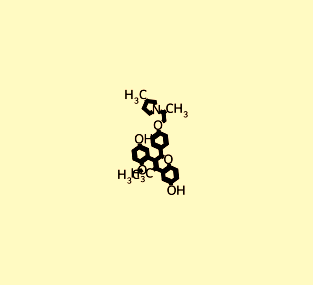 COc1ccc(O)cc1C1=C(C)c2cc(O)ccc2OC1c1ccc(OCC(C)N2CCC(C)C2)cc1